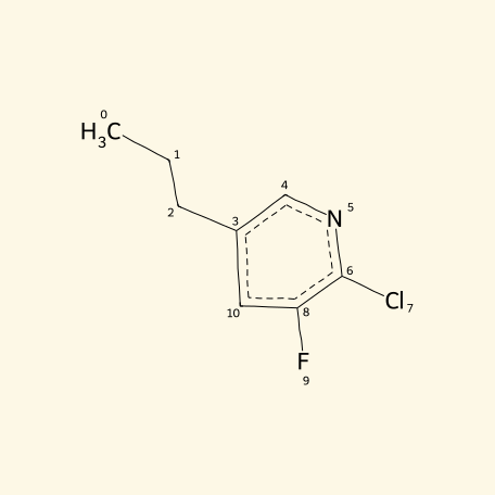 CCCc1cnc(Cl)c(F)c1